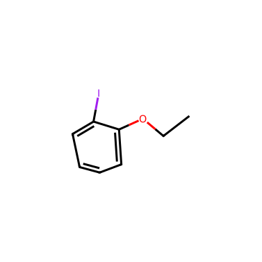 CCOc1ccccc1I